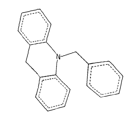 c1ccc(CN2c3ccccc3Cc3ccccc32)cc1